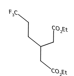 CCOC(=O)CC(CCC(F)(F)F)CC(=O)OCC